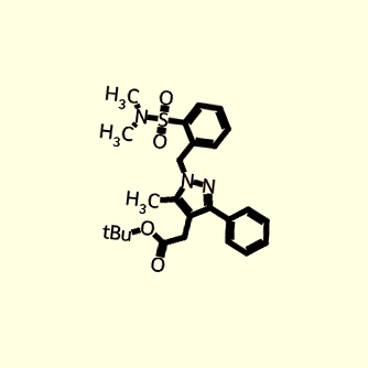 Cc1c(CC(=O)OC(C)(C)C)c(-c2ccccc2)nn1Cc1ccccc1S(=O)(=O)N(C)C